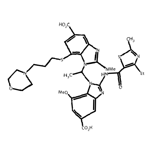 CCc1nc(C)sc1C(=O)Nc1nc2cc(C(=O)O)cc(OC)c2n1C(C)n1c(NC)nc2cc(C(=O)O)cc(SCCCN3CCOCC3)c21